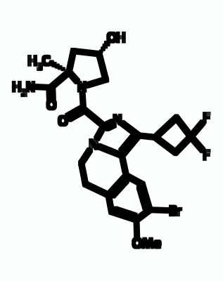 COc1cc2c(cc1Br)-c1c(C3CC(F)(F)C3)nc(C(=O)N3C[C@@H](O)C[C@]3(C)C(N)=O)n1CC2